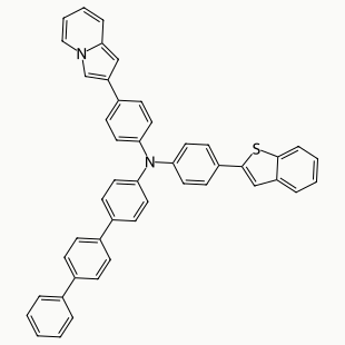 c1ccc(-c2ccc(-c3ccc(N(c4ccc(-c5cc6ccccn6c5)cc4)c4ccc(-c5cc6ccccc6s5)cc4)cc3)cc2)cc1